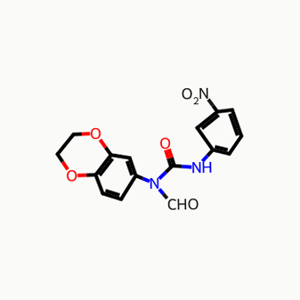 O=CN(C(=O)Nc1cccc([N+](=O)[O-])c1)c1ccc2c(c1)OCCO2